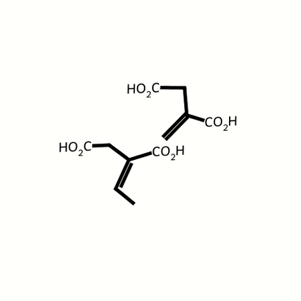 C=C(CC(=O)O)C(=O)O.CC=C(CC(=O)O)C(=O)O